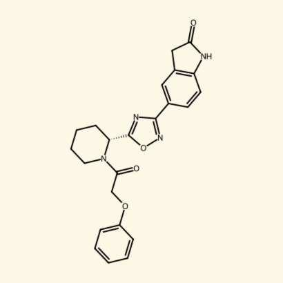 O=C1Cc2cc(-c3noc([C@H]4CCCCN4C(=O)COc4ccccc4)n3)ccc2N1